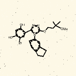 COC(C)(C)CCOc1nnc(-c2cc(C(C)C)c(O)cc2O)n1-c1ccc2c(c1)CCC2